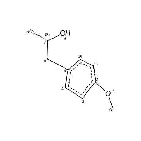 COc1ccc(C[C@H](C)O)cc1